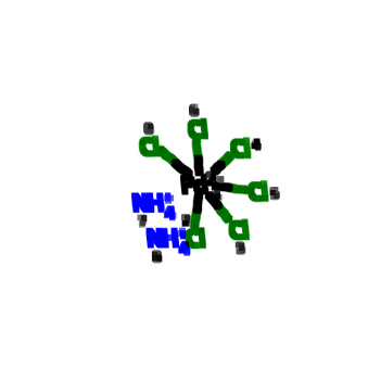 [Cl][Pd-2]([Cl])([Cl])([Cl])([Cl])[Cl].[NH4+].[NH4+]